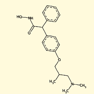 CC(COc1ccc(C(C(=O)NO)c2ccccc2)cc1)CN(C)C